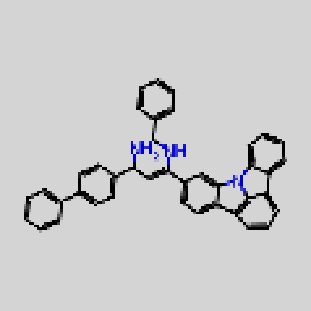 NC(/C=C(\NCc1ccccc1)c1ccc2c3cccc4c5ccccc5n(c2c1)c43)c1ccc(-c2ccccc2)cc1